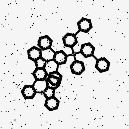 c1ccc(-c2cccc([Si](c3ccccc3)(c3cccc(-c4ccccc4)c3)c3cc(-c4ccccc4)c(-n4c5ccccc5c5cc(-c6ccccc6-n6c7ccccc7c7ccccc76)ccc54)c(-c4ccccc4)c3)c2)cc1